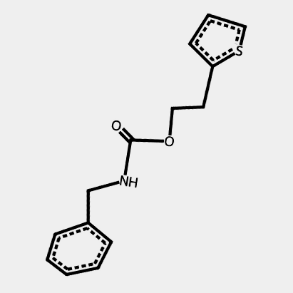 O=C(NCc1ccccc1)OCCc1cccs1